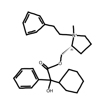 C[N+]1(CCc2ccccc2)CCC[C@@H]1COC(=O)C(O)(c1ccccc1)C1CCCCC1